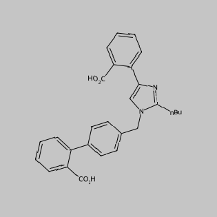 CCCCc1nc(-c2ccccc2C(=O)O)cn1Cc1ccc(-c2ccccc2C(=O)O)cc1